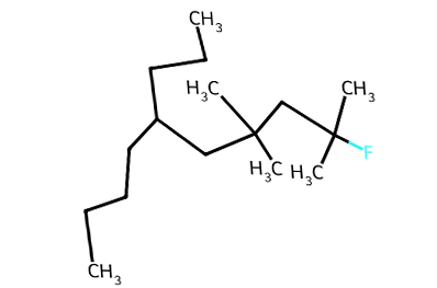 CCCCC(CCC)CC(C)(C)CC(C)(C)F